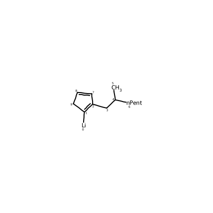 [Li][C]1=C(CC(C)CCCCC)C=CC1